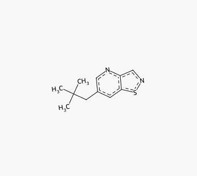 CC(C)(C)Cc1cnc2cnsc2c1